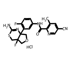 Cc1cc(C#N)cnc1C(=O)Nc1ccc(F)c(C23COCC2(F)CSC(N)=N3)c1.Cl